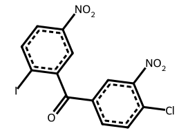 O=C(c1ccc(Cl)c([N+](=O)[O-])c1)c1cc([N+](=O)[O-])ccc1I